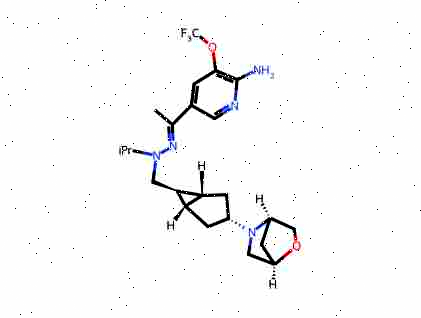 C/C(=N\N(C[C@H]1[C@@H]2C[C@H](N3C[C@H]4C[C@@H]3CO4)C[C@@H]21)C(C)C)c1cnc(N)c(OC(F)(F)F)c1